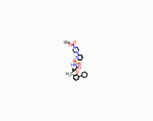 Cc1cccc(C2CCCCC2)c1OC1(C(=O)NS(=O)(=O)c2cccc(N3CCN(C(=O)OC(C)(C)C)CC3)n2)CC1